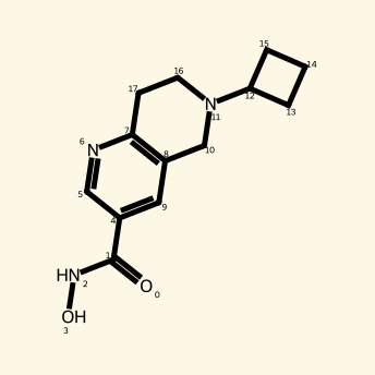 O=C(NO)c1cnc2c(c1)CN(C1CCC1)CC2